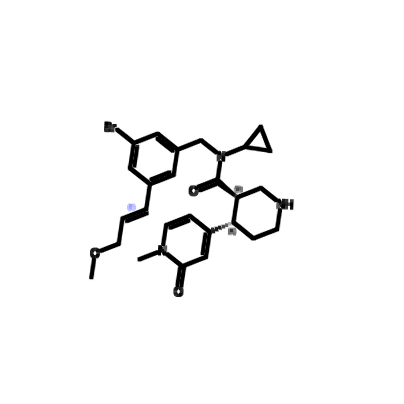 COC/C=C/c1cc(Br)cc(CN(C(=O)[C@H]2CNCC[C@@H]2c2ccn(C)c(=O)c2)C2CC2)c1